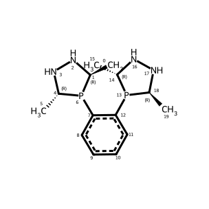 C[C@@H]1NN[C@@H](C)P1c1ccccc1P1[C@H](C)NN[C@H]1C